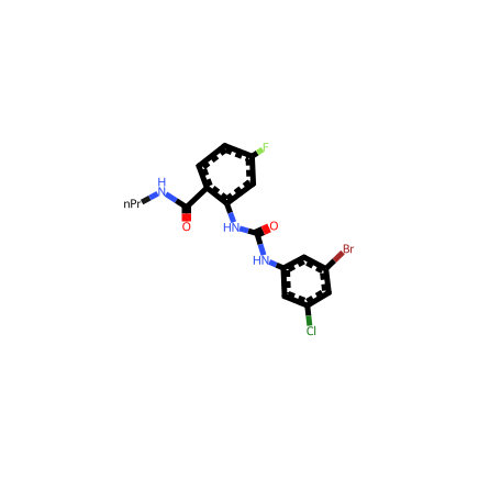 CCCNC(=O)c1ccc(F)cc1NC(=O)Nc1cc(Cl)cc(Br)c1